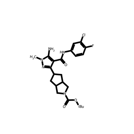 Cn1nc(C2CC3CN(C(=O)OC(C)(C)C)CC3C2)c(C(=O)Nc2ccc(F)c(Cl)c2)c1N